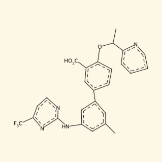 Cc1cc(Nc2nccc(C(F)(F)F)n2)cc(-c2ccc(OC(C)c3ccccn3)c(C(=O)O)c2)c1